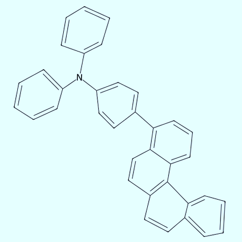 c1ccc(N(c2ccccc2)c2ccc(-c3cccc4c3ccc3ccc5ccccc5c34)cc2)cc1